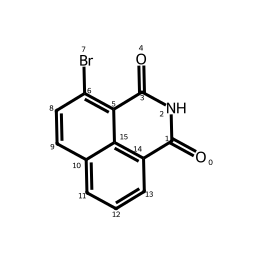 O=C1NC(=O)c2c(Br)ccc3cccc1c23